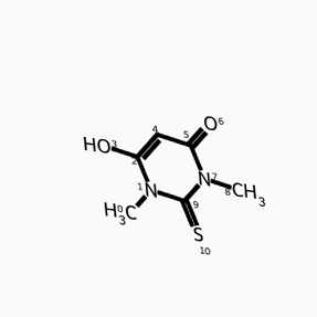 Cn1c(O)cc(=O)n(C)c1=S